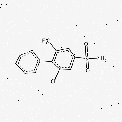 NS(=O)(=O)c1cc(Cl)c(-c2ccccc2)c(C(F)(F)F)c1